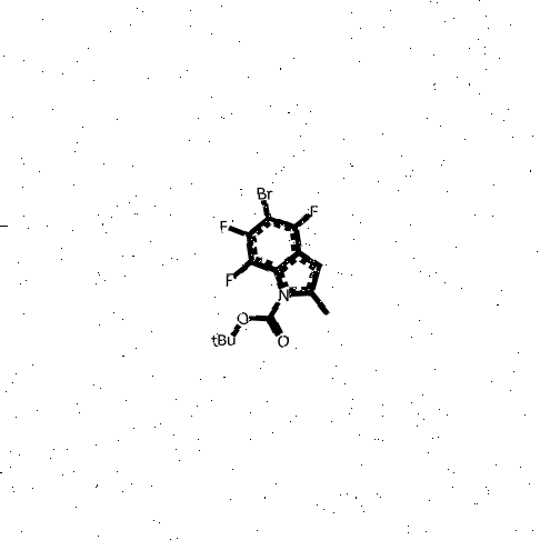 Cc1cc2c(F)c(Br)c(F)c(F)c2n1C(=O)OC(C)(C)C